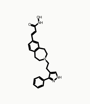 O=C(C=Cc1ccc2c(c1)CCN(CCc1c[nH]nc1-c1ccccc1)CC2)NO